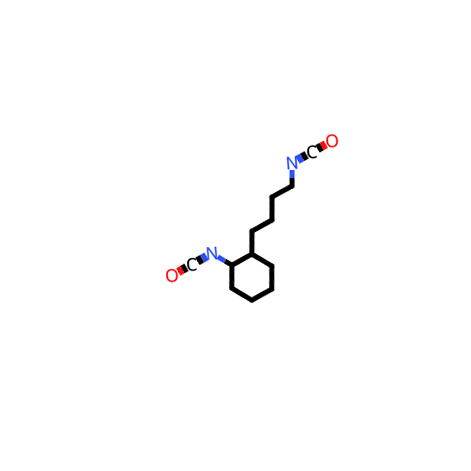 O=C=NCCCCC1CCCCC1N=C=O